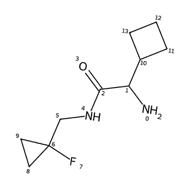 NC(C(=O)NCC1(F)CC1)C1CCC1